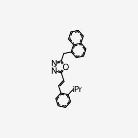 CC(C)c1ccccc1/C=C/c1nnc(Cc2cccc3ccccc23)o1